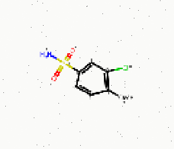 COc1ccc(S(N)(=O)=O)cc1Cl